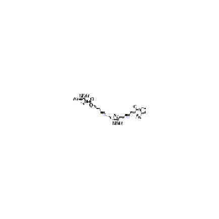 CNC(CCC/C=C/CCCOC(=O)N1CC[C@@](NC)(C(C)=O)C1)(CCC/C=C/CCC(=O)N1CCC[C@@H]1C(C)=O)C(C)=O